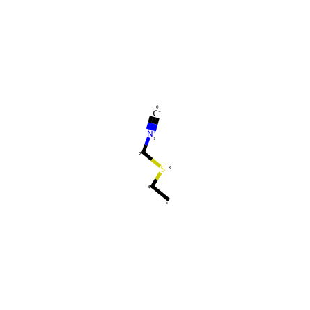 [C-]#[N+]CSCC